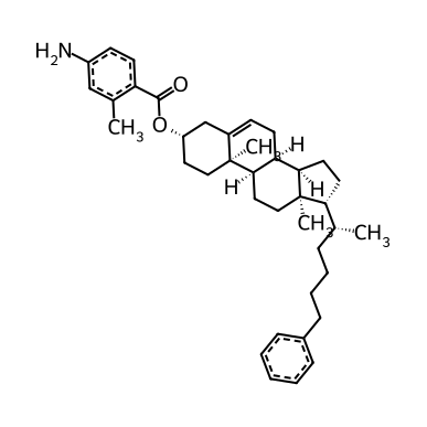 Cc1cc(N)ccc1C(=O)O[C@H]1CC[C@@]2(C)C(=CC[C@H]3[C@H]4CC[C@H]([C@H](C)CCCCc5ccccc5)[C@@]4(C)CC[C@H]32)C1